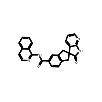 O=C(Nc1nccc2ccccc12)c1ccc2c(c1)CC1(C2)C(=O)Nc2ncccc21